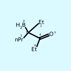 BC(CC)(CCC)C(=O)CC